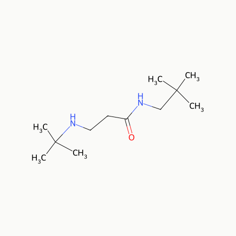 CC(C)(C)CNC(=O)CCNC(C)(C)C